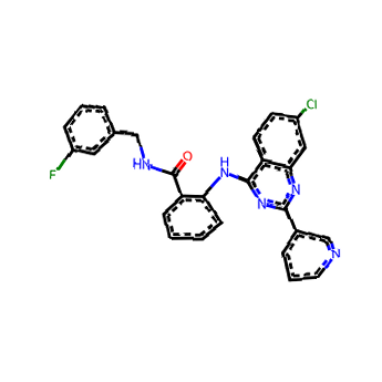 O=C(NCc1cccc(F)c1)c1ccccc1Nc1nc(-c2cccnc2)nc2cc(Cl)ccc12